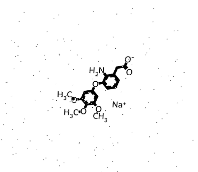 COc1cc(Oc2cccc(CC(=O)[O-])c2N)cc(OC)c1OC.[Na+]